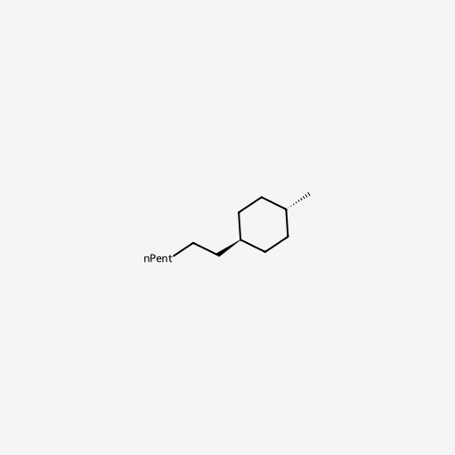 CCCCCCC[C@H]1CC[C@H](C)CC1